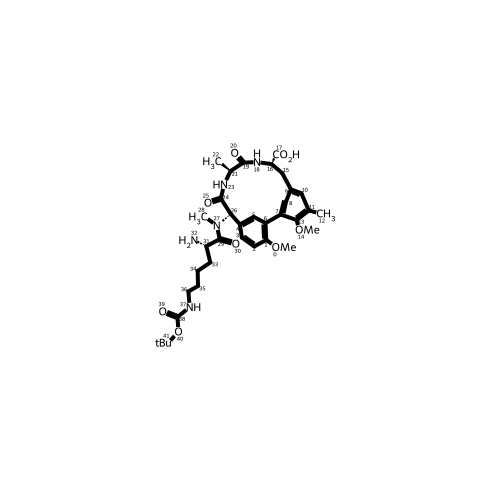 COc1ccc2cc1-c1cc(cc(C)c1OC)C[C@@H](C(=O)O)NC(=O)[C@H](C)NC(=O)[C@H]2N(C)C(=O)[C@@H](N)CCCCNC(=O)OC(C)(C)C